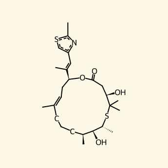 C/C1=C\C[C@@H](/C(C)=C/c2csc(C)n2)OC(=O)C[C@@H](O)C(C)(C)S[C@H](C)[C@@H](O)[C@@H](C)CCC1